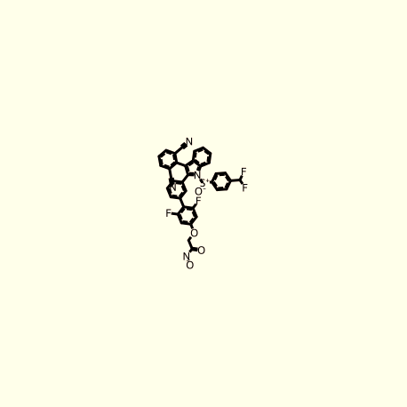 N#Cc1cccc(C#N)c1-c1c(-c2cccc(-c3c(F)cc(OCC(=O)N=O)cc3F)c2)n([S+]([O-])c2ccc(C(F)F)cc2)c2ccccc12